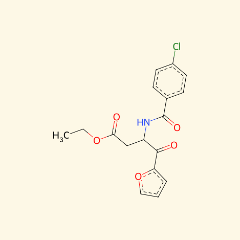 CCOC(=O)CC(NC(=O)c1ccc(Cl)cc1)C(=O)c1ccco1